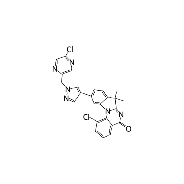 CC1(C)c2ccc(-c3cnn(Cc4cnc(Cl)cn4)c3)cc2-n2c1nc(=O)c1cccc(Cl)c12